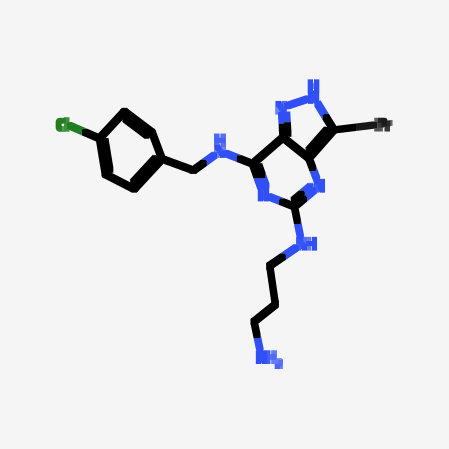 CC(C)c1[nH]nc2c(NCc3ccc(Cl)cc3)nc(NCCCN)nc12